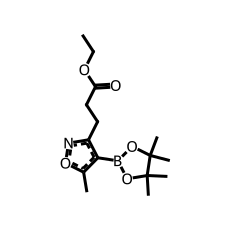 CCOC(=O)CCc1noc(C)c1B1OC(C)(C)C(C)(C)O1